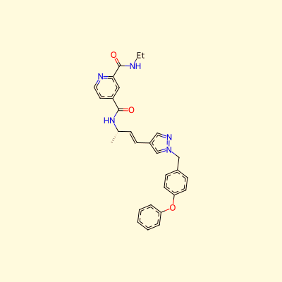 CCNC(=O)c1cc(C(=O)N[C@@H](C)/C=C/c2cnn(Cc3ccc(Oc4ccccc4)cc3)c2)ccn1